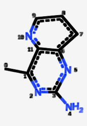 Cc1nc(N)nc2cccnc12